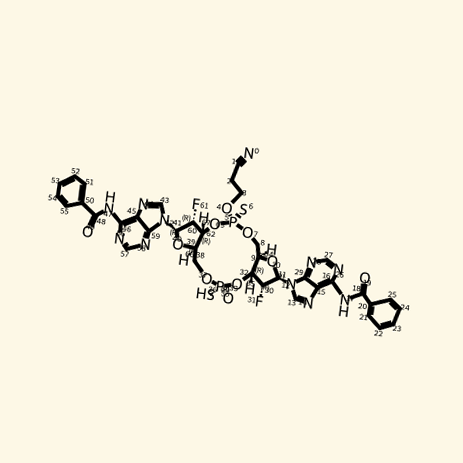 N#CCCOP1(=S)OC[C@H]2O[C@@H](n3cnc4c(NC(=O)c5ccccc5)ncnc43)[C@H](F)[C@@H]2O[P@](=O)(S)OC[C@H]2O[C@@H](n3cnc4c(NC(=O)c5ccccc5)ncnc43)[C@H](F)[C@@H]2O1